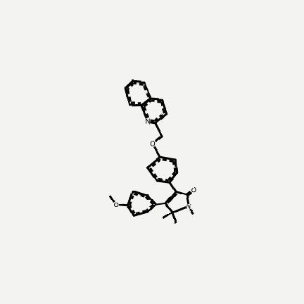 COc1ccc(C2=C(c3ccc(OCc4ccc5ccccc5n4)cc3)C(=O)N(C)C2(C)C)cc1